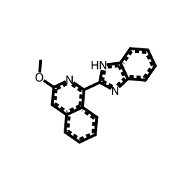 COc1cc2ccccc2c(-c2nc3ccccc3[nH]2)n1